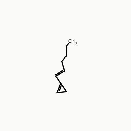 CCCCC=CC1=CC1